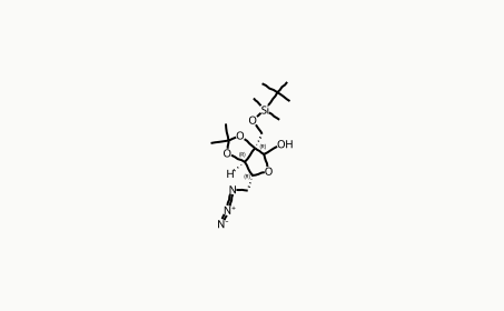 CC1(C)O[C@@H]2[C@@H](CN=[N+]=[N-])OC(O)[C@]2(CO[Si](C)(C)C(C)(C)C)O1